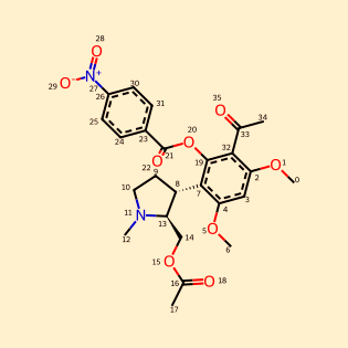 COc1cc(OC)c([C@H]2CCN(C)[C@@H]2COC(C)=O)c(OC(=O)c2ccc([N+](=O)[O-])cc2)c1C(C)=O